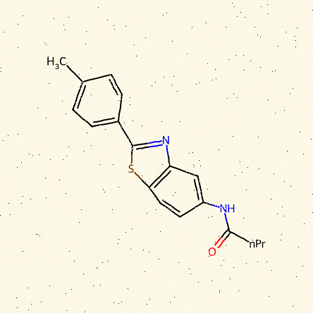 CCCC(=O)Nc1ccc2sc(-c3ccc(C)cc3)nc2c1